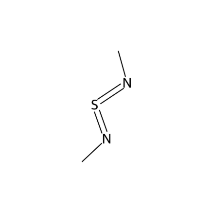 CN=S=NC